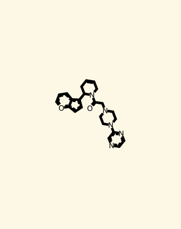 O=C(CN1CCN(c2cnccn2)CC1)N1CC=CCC1c1ccc2occcc1-2